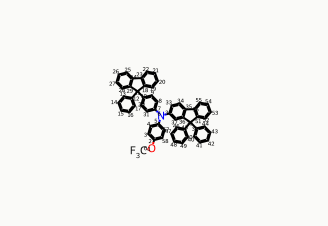 FC(F)(F)Oc1ccc(N(c2ccc(C3(c4ccccc4)c4ccccc4-c4ccccc43)cc2)c2ccc3c(c2)C(c2ccccc2)(c2ccccc2)c2ccccc2-3)cc1